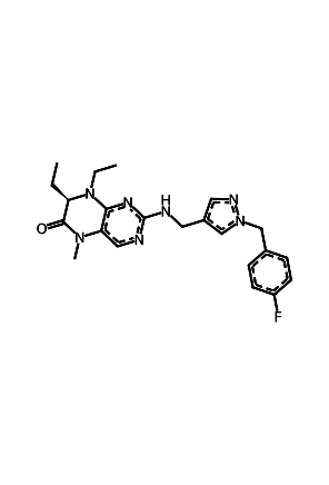 CC[C@@H]1C(=O)N(C)c2cnc(NCc3cnn(Cc4ccc(F)cc4)c3)nc2N1CC